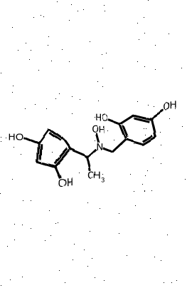 CC(c1ccc(O)cc1O)N(O)Cc1ccc(O)cc1O